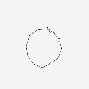 C1CCCC/N=N\OCCCC1